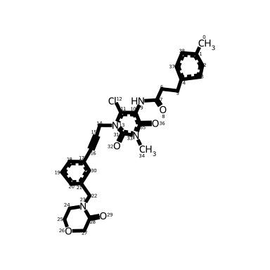 Cc1ccc(CCC(=O)Nc2c(Cl)n(CC#Cc3cccc(CN4CCOCC4=O)c3)c(=O)n(C)c2=O)cc1